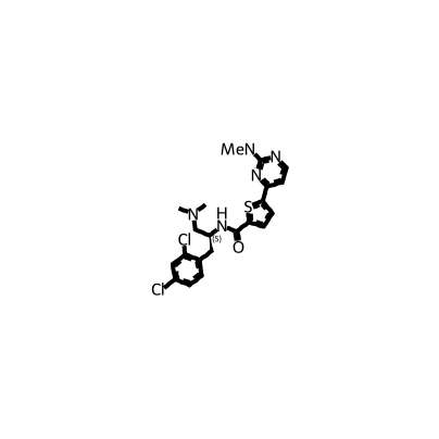 CNc1nccc(-c2ccc(C(=O)N[C@@H](Cc3ccc(Cl)cc3Cl)CN(C)C)s2)n1